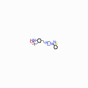 CC1(C)Cc2cc(CCN3CCN(c4nsc5ccccc45)CC3)ccc2NC1=O